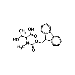 CC(O)[C@@H](C(=O)O)N(C)C(=O)OCC1c2ccccc2-c2ccccc21